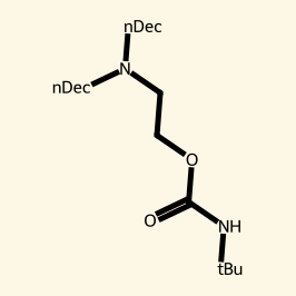 CCCCCCCCCCN(CCCCCCCCCC)CCOC(=O)NC(C)(C)C